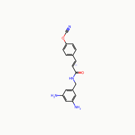 N#COc1ccc(/C=C/C(=O)NCc2cc(N)cc(N)c2)cc1